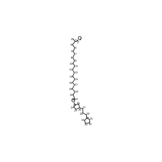 CC([C]=O)CCCCCCCCCCCCCCCCCCOC1CCC(CCCC2C[CH]CC2)C1